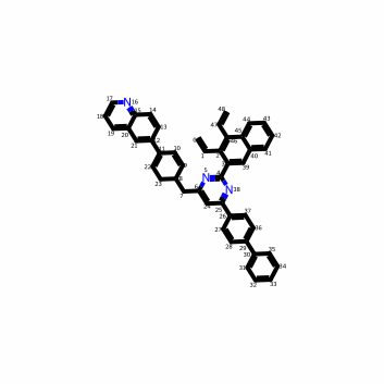 C=Cc1c(-c2nc(CC3C=CC(c4ccc5ncccc5c4)=CC3)cc(-c3ccc(-c4ccccc4)cc3)n2)cc2ccccc2c1C=C